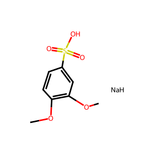 COc1ccc(S(=O)(=O)O)cc1OC.[NaH]